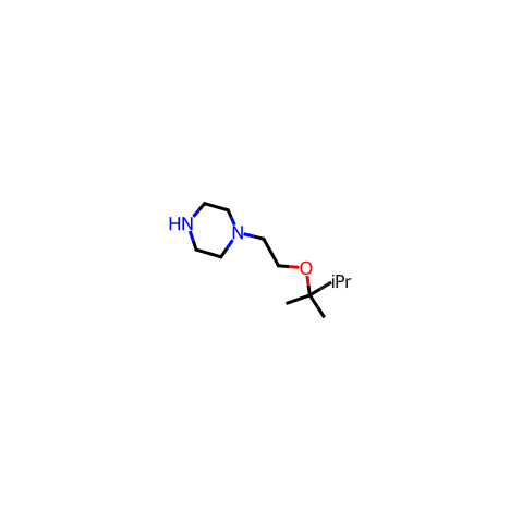 CC(C)C(C)(C)OCCN1CCNCC1